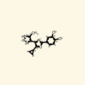 Cc1[nH]nnc1-c1nc(-c2ccc(Cl)c(Cl)c2)oc1C1CC1